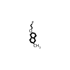 Cc1ccc2cc(OCCF)ccc2c1